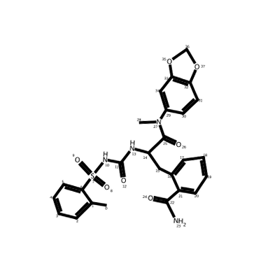 Cc1ccccc1S(=O)(=O)NC(=O)NC(Cc1ccccc1C(N)=O)C(=O)N(C)c1ccc2c(c1)OCO2